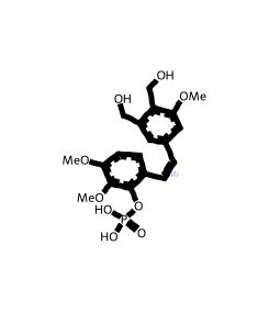 COc1cc(/C=C\c2ccc(OC)c(OC)c2OP(=O)(O)O)cc(CO)c1CO